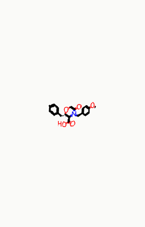 COc1ccc(CN2C(=O)CO[C@@H](Cc3ccccc3)C2C(=O)O)cc1